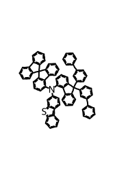 c1ccc(-c2cccc(C3(c4cccc(-c5ccccc5)c4)c4ccccc4-c4c(N(c5ccc6c(c5)sc5ccccc56)c5cccc6c5-c5ccccc5C65c6ccccc6-c6ccccc65)cccc43)c2)cc1